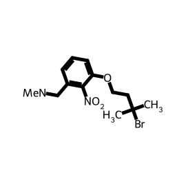 CNCc1cccc(OCCC(C)(C)Br)c1[N+](=O)[O-]